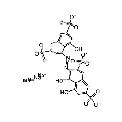 O=S(=O)([O-])c1cc(O)c2c(N=Nc3c(S(=O)(=O)[O-])cc4cc(S(=O)(=O)[O-])cc(O)c4c3O)cc(S(=O)(=O)[O-])cc2c1.[Na+].[Na+].[Na+].[Na+]